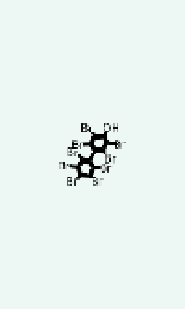 Oc1c(Br)c(Br)c(-c2c(Br)c(Br)c(Br)c(Br)c2Br)c(Br)c1Br